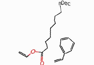 C=COC(=O)CCCCCCCCCCCCCCCCC.C=Cc1ccccc1